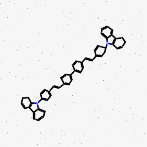 C1=Cc2c(c3ccccc3n2C2C=CC(/C=C/c3ccc(-c4ccc(/C=C/c5ccc(-n6c7c(c8ccccc86)C=CCC7)cc5)cc4)cc3)=CC2)CC1